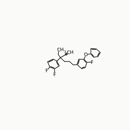 C#CC(CC)(CCCc1ccc(F)c(Oc2ccccc2)c1)c1ccc(F)c(F)c1